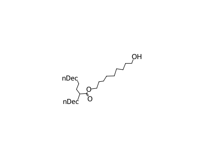 CCCCCCCCCCCCC(CCCCCCCCCC)C(=O)OCCCCCCCCCO